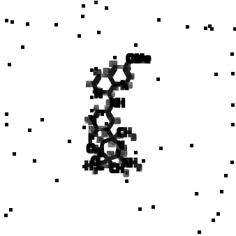 COc1cnc2c(Nc3cnc(F)c(C4(C)CS(=O)(=O)C(C)(C)C(N)=N4)c3)nccc2c1